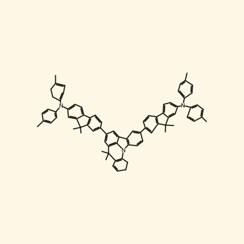 CC1=CC=C(N(c2ccc(C)cc2)c2ccc3c(c2)C(C)(C)c2cc(-c4cc5c6c(c4)c4cc(-c7ccc8c(c7)C(C)(C)c7cc(N(c9ccc(C)cc9)c9ccc(C)cc9)ccc7-8)ccc4n6C4=C(C=CCC4)C5(C)C)ccc2-3)CC1